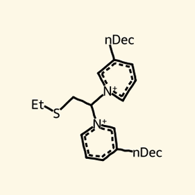 [CH2]CSCC([n+]1cccc(CCCCCCCCCC)c1)[n+]1cccc(CCCCCCCCCC)c1